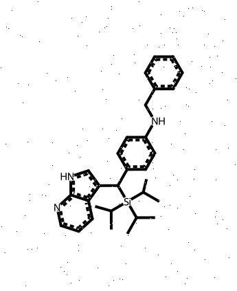 CC(C)[Si](C(C)C)(C(C)C)C(c1ccc(NCc2ccccc2)cc1)c1c[nH]c2ncccc12